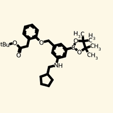 CC(C)(C)OC(=O)Cc1ccccc1OCc1cc(NCC2CCCC2)cc(B2OC(C)(C)C(C)(C)O2)c1